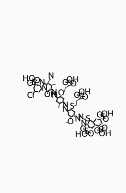 COc1cc(N=Nc2cc(OCCCS(=O)(=O)O)c(N=Nc3c(C)c(C#N)c4nc5c(S(=O)(=O)O)cc(Cl)cc5n4c3O)cc2C)c(SCCCS(=O)(=O)O)cc1N=Nc1nc2c(S(=O)(=O)O)cc3c(S(=O)(=O)O)cc(S(=O)(=O)O)cc3c2s1